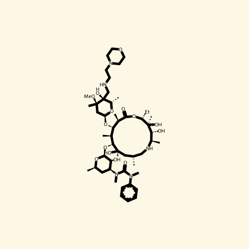 CC[C@H]1OC(=O)[C@H](C)[C@@H](O[C@H]2C[C@@](C)(OC)[C@](O)(CNCCN3CCOCC3)[C@H](C)O2)[C@H](C)[C@@H](O[C@@H]2O[C@H](C)C[C@H](N(C)C(=O)N(C)c3ccccc3)[C@H]2O)[C@](C)(O)C[C@@H](C)CN[C@H](C)[C@@H](O)[C@]1(C)O